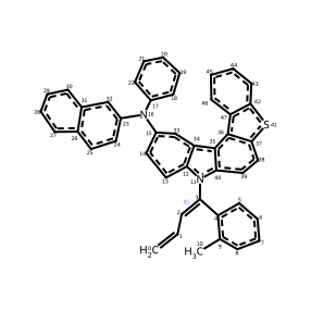 C=C/C=C(\c1ccccc1C)n1c2ccc(N(c3ccccc3)c3ccc4ccccc4c3)cc2c2c3c(ccc21)sc1ccccc13